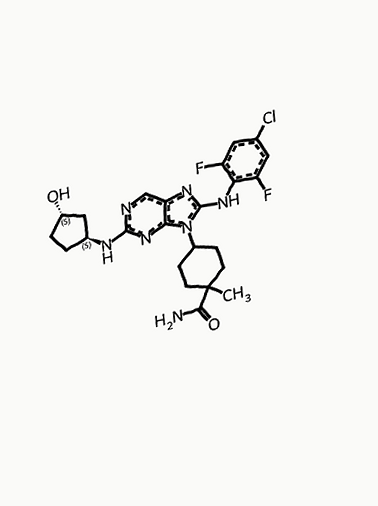 CC1(C(N)=O)CCC(n2c(Nc3c(F)cc(Cl)cc3F)nc3cnc(N[C@H]4CC[C@H](O)C4)nc32)CC1